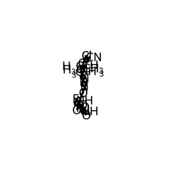 CC1(C)[C@H](NC(=O)c2ccc(N3CCN(CCOCCCNc4c(F)ccc5c4C(=O)N(C4CCC(=O)NC4=O)C5=O)CC3)nc2)C(C)(C)[C@H]1Oc1ccc(C#N)c(Cl)c1